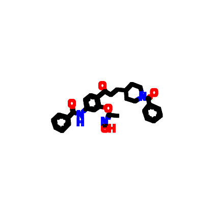 CC(=NO)Oc1cc(NC(=O)c2ccccc2)ccc1C(=O)CCC1CCN(C(=O)c2ccccc2)CC1